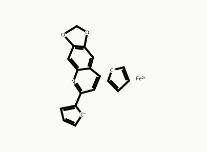 [Fe+2].c1c[cH-]c(-c2ccc3cc4c(cc3n2)OCO4)c1.c1cc[cH-]c1